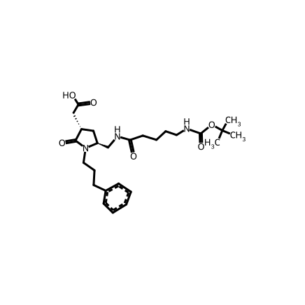 CC(C)(C)OC(=O)NCCCCC(=O)NC[C@@H]1C[C@@H](CC(=O)O)C(=O)N1CCCc1ccccc1